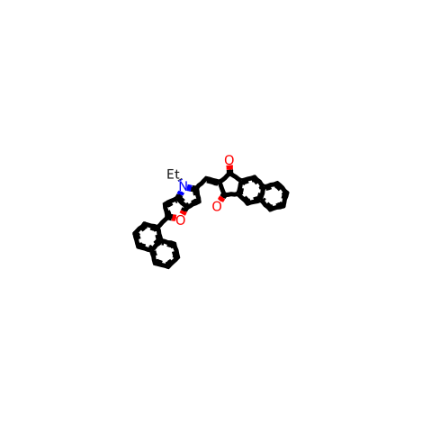 CCn1c(C=C2C(=O)c3cc4ccccc4cc3C2=O)cc2oc(-c3cccc4ccccc34)cc21